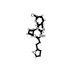 O=C(CCC1CCCO1)Nc1nc2ccc(Cl)nc2n1C1=CC=C1